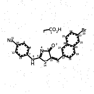 CC(=O)O.O=C1N=C(Nc2cc[c]([Na])cc2)SC1=Cc1ccc2cc(Br)ccc2c1